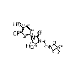 CC1(C)CN(CCN2CCN(c3ccc(O)c(Cl)c3)C2=O)C1.Cl